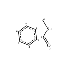 CSC=O.c1ccccc1